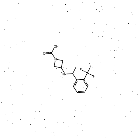 CC(NC1CN(C(=O)O)C1)c1ccccc1C(F)(F)F